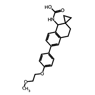 COCCOc1ccc(-c2ccc3c(c2)CCC2(CC2)C3NC(=O)O)cc1